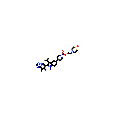 Cc1c(-c2[nH]c3ccc(C4CCN(C(=O)OCCN5CC[S+]([O-])CC5)CC4)cc3c2C(C)C)cn2ncnc2c1C